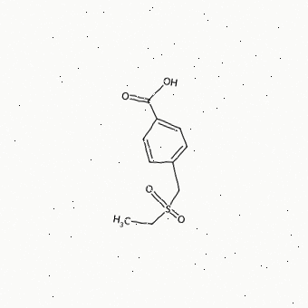 CCS(=O)(=O)Cc1ccc(C(=O)O)cc1